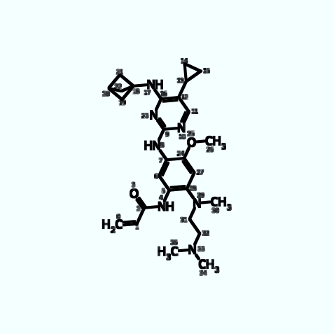 C=CC(=O)Nc1cc(Nc2ncc(C3CC3)c(NC34CC(C3)C4)n2)c(OC)cc1N(C)CCN(C)C